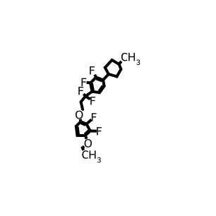 CCOc1ccc(OCCC(F)(F)c2ccc(C3CCC(C)CC3)c(F)c2F)c(F)c1F